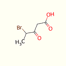 CC(Br)C(=O)CC(=O)O